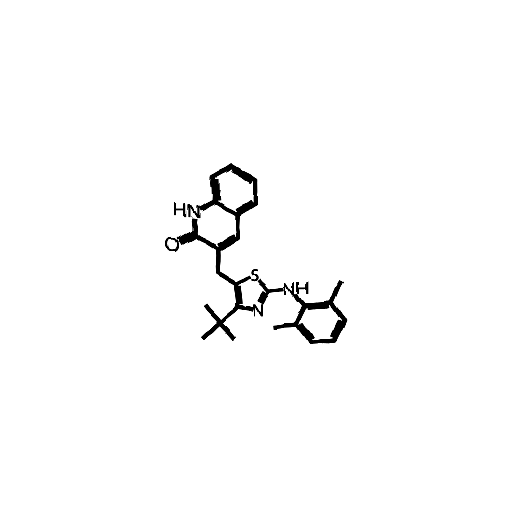 Cc1cccc(C)c1Nc1nc(C(C)(C)C)c(Cc2cc3ccccc3[nH]c2=O)s1